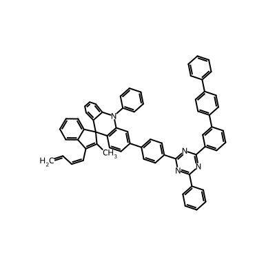 C=C/C=C\C1=C(C)C2(c3ccccc31)c1ccccc1N(c1ccccc1)c1cc(-c3ccc(-c4nc(-c5ccccc5)nc(-c5cccc(-c6ccc(-c7ccccc7)cc6)c5)n4)cc3)ccc12